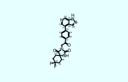 O=C(CN1C(=O)NC2(CCC(F)(F)CC2)C1=O)c1ccc(-c2cncc3[nH]ncc23)cc1